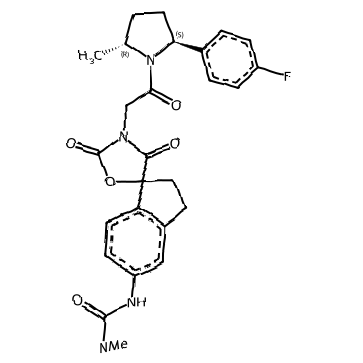 CNC(=O)Nc1ccc2c(c1)CCC21OC(=O)N(CC(=O)N2[C@H](C)CC[C@H]2c2ccc(F)cc2)C1=O